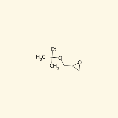 [CH2]CC(C)(C)OCC1CO1